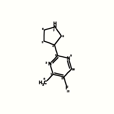 Cc1nc(C2CCNC2)ncc1F